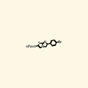 CCCCCC1=CN2CC(c3ccc(Br)cc3)N=C2S1